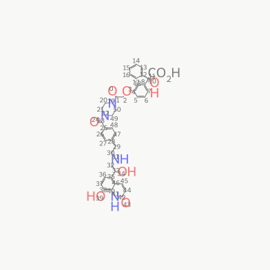 O=C(COc1cccc(C(O)(C(=O)O)c2ccccc2)c1)N1CCN(C(=O)c2ccc(CCNCC(O)c3ccc(O)c4[nH]c(=O)ccc34)cc2)CC1